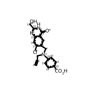 C#CCN(Cc1cc2c(=O)[nH]c(CO)nc2cc1Cl)c1ccc(C(=O)O)cc1